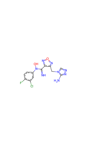 N=C(c1nonc1Cn1cnnc1N)N(O)c1ccc(F)c(Cl)c1